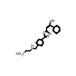 CCC/C(=C/c1nnc(-c2ccc(CNCCC(=O)O)cc2)o1)c1ccccc1